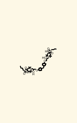 CCCCN1C(=O)NC2(CC(C)(C)N(CC(O)COc3ccc(Cc4ccc(OCC(O)CN5C(C)(C)CC6(CC5(C)C)NC(=O)N(CCCC)C6=O)cc4)cc3)C(C)(C)C2)C1=O